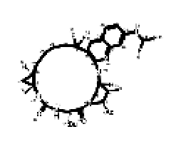 CC(=O)[C@@H]1[C@H](C)[C@@H]2CN1C(=O)[C@H](C(C)(C)C)NC(=O)O[C@]1(C)C[C@H]1CCCCC(F)(F)c1cc3ccc(OC(F)F)cc3nc1O2